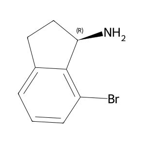 N[C@@H]1CCc2cccc(Br)c21